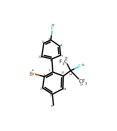 Cc1[c]c(Br)c(-c2ccc(F)cc2)c(C(F)(C(F)(F)F)C(F)(F)F)c1